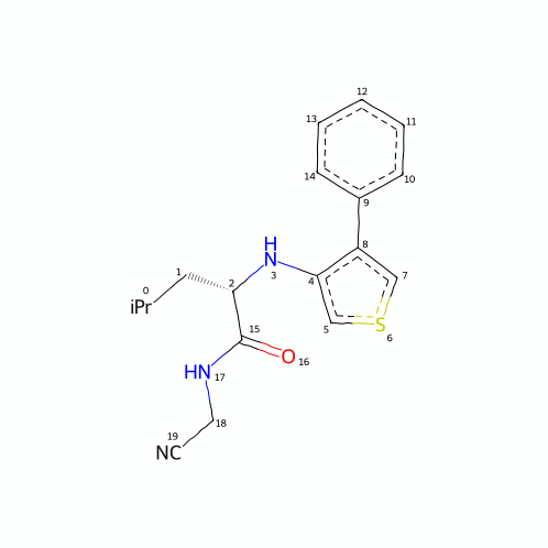 CC(C)C[C@H](Nc1cscc1-c1ccccc1)C(=O)NCC#N